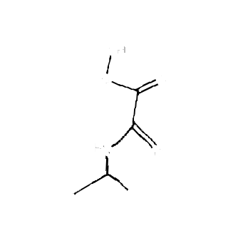 CC(C)NC(=O)C(=O)OO